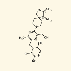 Cc1nc(N2CCC3(CC2)CO[C@@H](C)[C@H]3N)c(CO)nc1SC1C(Cl)=C(N)N=CC1C